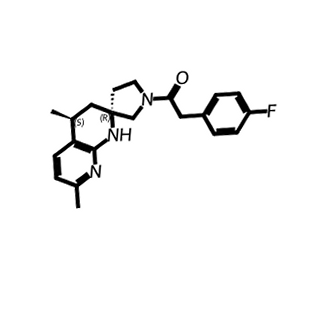 Cc1ccc2c(n1)N[C@@]1(CCN(C(=O)Cc3ccc(F)cc3)C1)C[C@@H]2C